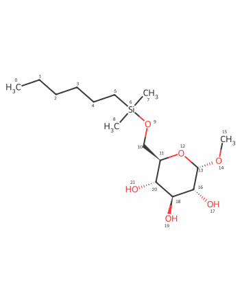 CCCCCC[Si](C)(C)OC[C@H]1O[C@H](OC)[C@H](O)[C@@H](O)[C@@H]1O